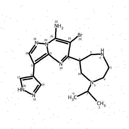 CC(C)N1CCNCC(c2nc3c(-c4cn[nH]c4)cnn3c(N)c2Br)C1